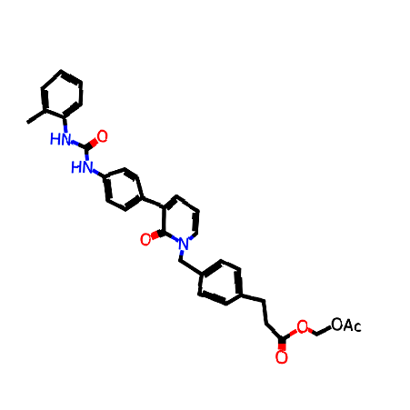 CC(=O)OCOC(=O)CCc1ccc(Cn2cccc(-c3ccc(NC(=O)Nc4ccccc4C)cc3)c2=O)cc1